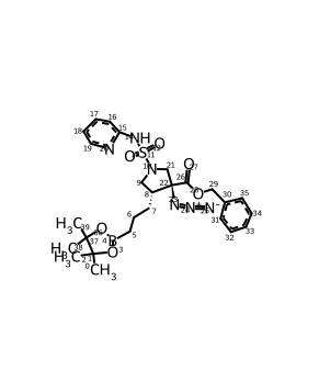 CC1(C)OB(CCC[C@@H]2CN(S(=O)(=O)Nc3ccccn3)C[C@]2(N=[N+]=[N-])C(=O)OCc2ccccc2)OC1(C)C